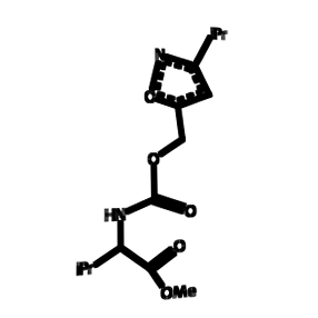 COC(=O)C(NC(=O)OCc1cc(C(C)C)no1)C(C)C